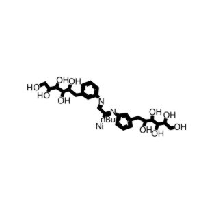 CCCCC(C=Nc1cccc(CC(O)C(O)C(O)C(O)CO)c1)=Nc1cccc(CC(O)C(O)C(O)C(O)CO)c1.[Ni]